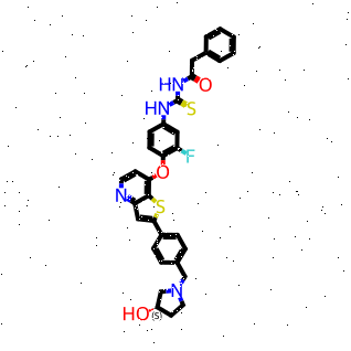 O=C(Cc1ccccc1)NC(=S)Nc1ccc(Oc2ccnc3cc(-c4ccc(CN5CC[C@H](O)C5)cc4)sc23)c(F)c1